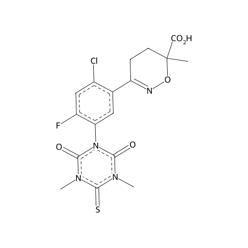 Cn1c(=S)n(C)c(=O)n(-c2cc(C3=NOC(C)(C(=O)O)CC3)c(Cl)cc2F)c1=O